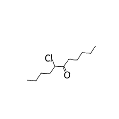 CCCCCC(=O)C(Cl)CCCC